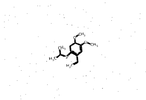 C=CC1=C(SC(C)C)CC(OC)C(OC)=C1